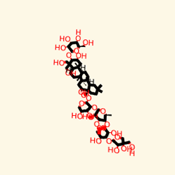 CC(=O)O[C@H]1[C@@H](O)[C@H](O[C@H]2[C@H](OC(=O)[C@]34CCC(C)(C)C[C@H]3C3=CC[C@@H]5[C@@]6(C)C[C@H](O)[C@H](O[C@@H]7O[C@H](CO)[C@@H](O)[C@H](O)[C@H]7O)C(CO)(CO)[C@@H]6CC[C@@]5(C)[C@]3(C)C[C@H]4O)OC[C@H](O)[C@@H]2O)O[C@@H](C)[C@@H]1O[C@@H]1OC[C@@H](O)[C@H](O[C@@H]2OC[C@](O)(CO)[C@H]2O)[C@H]1O